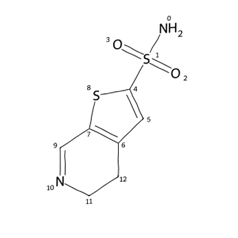 NS(=O)(=O)c1cc2c(s1)C=NCC2